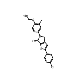 Cc1cc(N2Cc3cc(-c4ccc(Cl)cc4)sc3C2=O)ccc1OCC(C)(C)C